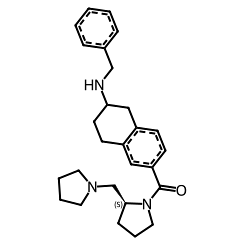 O=C(c1ccc2c(c1)CCC(NCc1ccccc1)C2)N1CCC[C@H]1CN1CCCC1